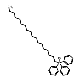 CCCCCCCCCCCCCCCCCCP(Br)(c1ccccc1)(c1ccccc1)c1ccccc1